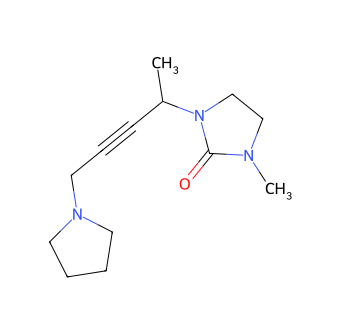 CC(C#CCN1CCCC1)N1CCN(C)C1=O